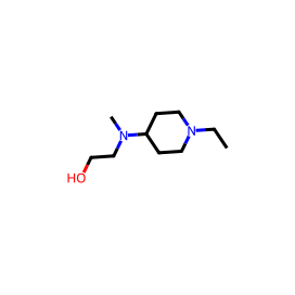 CCN1CCC(N(C)CCO)CC1